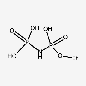 CCOP(=O)(O)NP(=O)(O)O